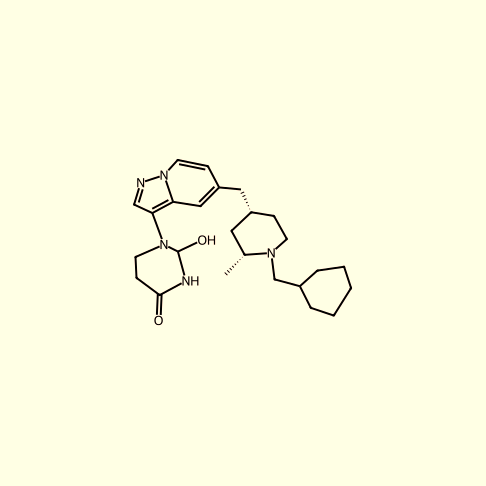 C[C@@H]1C[C@H](Cc2ccn3ncc(N4CCC(=O)NC4O)c3c2)CCN1CC1CCCCC1